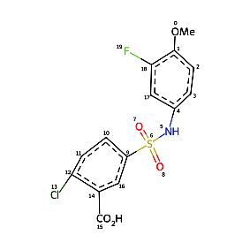 COc1ccc(NS(=O)(=O)c2ccc(Cl)c(C(=O)O)c2)cc1F